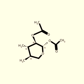 CC(=O)O[C@@H]1OC[C@@H](C)[C@H](C)[C@H]1OC(C)=O